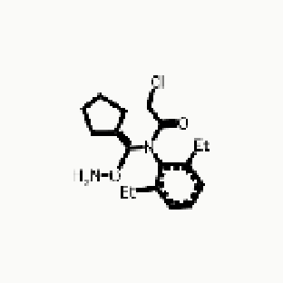 CCc1cccc(CC)c1N(C(=O)CCl)C(ON)=C1CCCC1